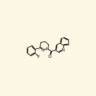 O=C(c1cnc2ccccc2c1)N1CCCC(c2ccccc2F)=N1